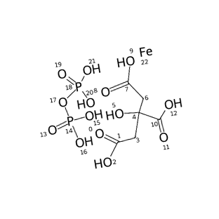 O=C(O)CC(O)(CC(=O)O)C(=O)O.O=P(O)(O)OP(=O)(O)O.[Fe]